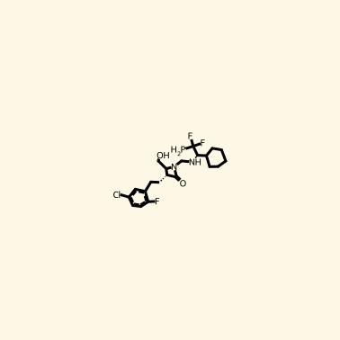 O=C1[C@H](CCc2cc(Cl)ccc2F)C(CO)N1CN[C@@H](C1CCCCC1)C(F)(F)P